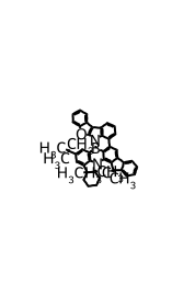 CC(C)(C)c1cc2c3c(c1)C1(C)CCCCC1(C)N3c1c3c(cc4c1C(C)(C)c1ccccc1-4)-c1cccc4c5c6ccccc6oc5n(c14)B23